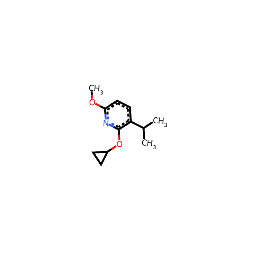 COc1ccc(C(C)C)c(OC2CC2)n1